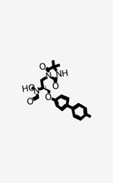 Cc1ccc(-c2ccc(OC[C@H](CN3C(=O)NC(C)(C)C3=O)N(O)C=O)cc2)cc1